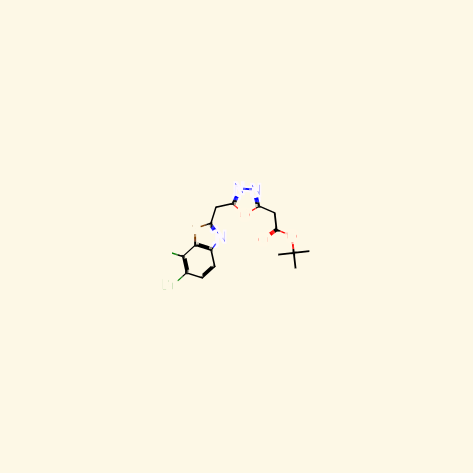 CC(C)(C)OC(=O)Cc1nnc(Cc2nc3ccc(Br)c(F)c3s2)o1